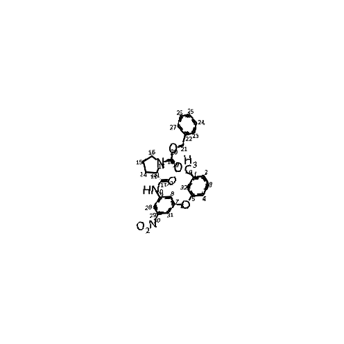 Cc1cccc(Oc2cc(NC(=O)[C@@H]3CCCN3C(=O)OCc3ccccc3)cc([N+](=O)[O-])c2)c1